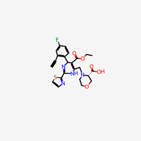 C#Cc1cc(F)ccc1C1N=C(c2nccs2)NC(CN2CCOC[C@H]2C(=O)O)=C1C(=O)OCC